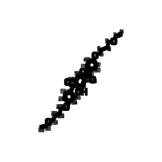 C=COCCCCOc1ccc(C(=O)C2(O)C=CC(O)(C(=O)c3ccc(OCCCCOC=C)cc3)C(C)=C2)cc1